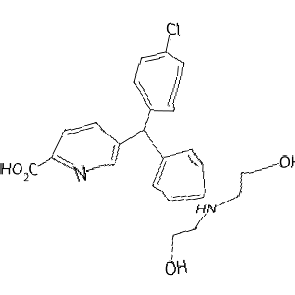 O=C(O)c1ccc(C(c2ccccc2)c2ccc(Cl)cc2)cn1.OCCNCCO